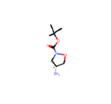 CC(C)(C)OC(=O)N1C[C@@H](N)CO1